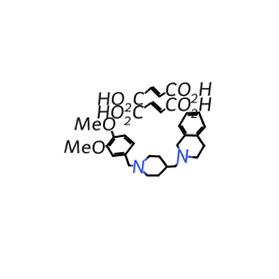 COc1ccc(CN2CCC(CN3CCc4ccccc4C3)CC2)cc1OC.O=C(O)C=CC(=O)O.O=C(O)C=CC(=O)O